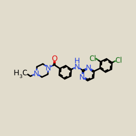 CCN1CCN(C(=O)c2cccc(Nc3nccc(-c4ccc(Cl)cc4Cl)n3)c2)CC1